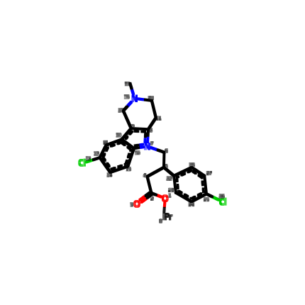 CC(C)OC(=O)CC(Cn1c2c(c3cc(Cl)ccc31)CN(C)CC2)c1ccc(Cl)cc1